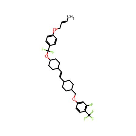 C/C=C/COc1ccc(C(F)(F)OC2CCC(/C=C/C3CCC(COc4ccc(C(F)(F)F)c(F)c4)CC3)CC2)cc1